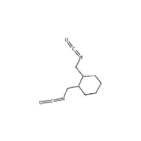 O=C=NCC1CCCCC1CN=C=O